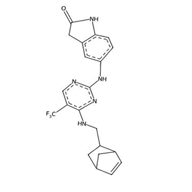 O=C1Cc2cc(Nc3ncc(C(F)(F)F)c(NCC4CC5C=CC4C5)n3)ccc2N1